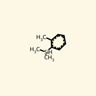 Cc1ccccc1[SiH](C)C